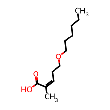 CCCCCCOCCC=C(C)C(=O)O